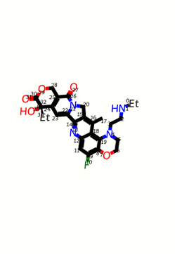 CCNCCN1CCOc2c(F)cc3nc4c(c(C)c3c21)Cn1c-4cc2c(c1=O)COC(=O)[C@]2(O)CC